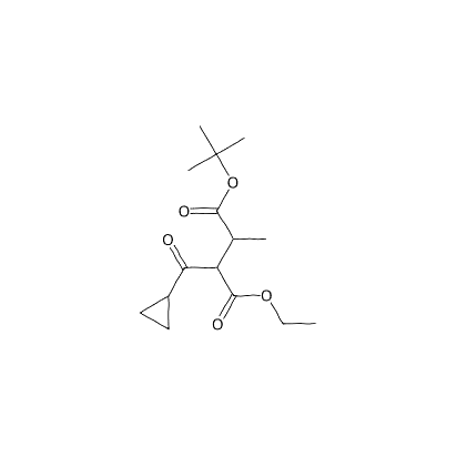 CCOC(=O)C(C(=O)C1CC1)C(C)C(=O)OC(C)(C)C